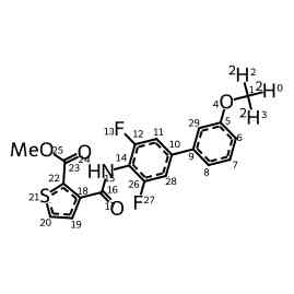 [2H]C([2H])([2H])Oc1cccc(-c2cc(F)c(NC(=O)c3ccsc3C(=O)OC)c(F)c2)c1